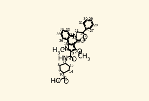 COc1c(C(=O)N[C@H]2CC[C@H](C(=O)O)CC2)n(C)c2c1c(=O)n(CC(=O)c1ccccc1)c1ccccc21